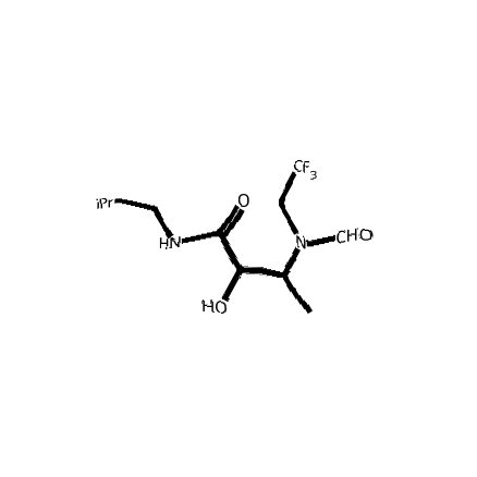 CC(C)CNC(=O)C(O)C(C)N(C=O)CC(F)(F)F